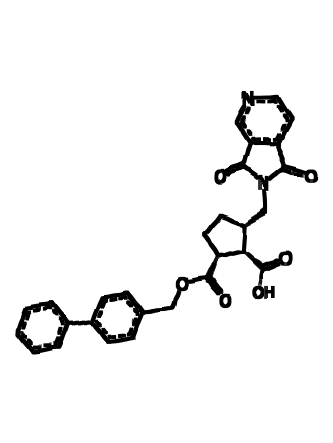 O=C(O)[C@@H]1[C@H](CN2C(=O)c3ccncc3C2=O)CC[C@@H]1C(=O)OCc1ccc(-c2ccccc2)cc1